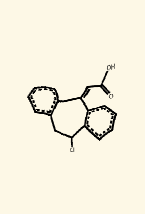 O=C(O)C=C1c2ccccc2CC(Cl)c2ccccc21